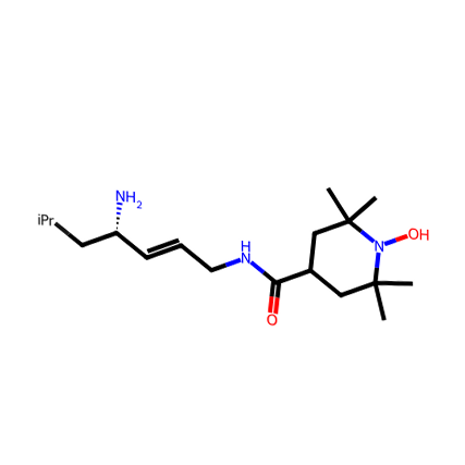 CC(C)C[C@H](N)/C=C/CNC(=O)C1CC(C)(C)N(O)C(C)(C)C1